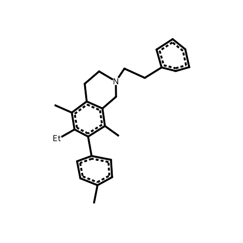 CCc1c(C)c2c(c(C)c1-c1ccc(C)cc1)CN(CCc1ccccc1)CC2